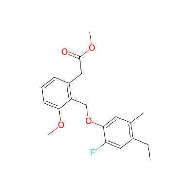 CCc1cc(F)c(OCc2c(CC(=O)OC)cccc2OC)cc1C